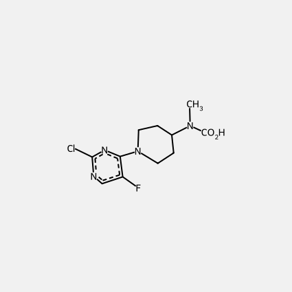 CN(C(=O)O)C1CCN(c2nc(Cl)ncc2F)CC1